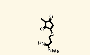 CNC(=N)CCSC1CC(=O)C(C)C1=O